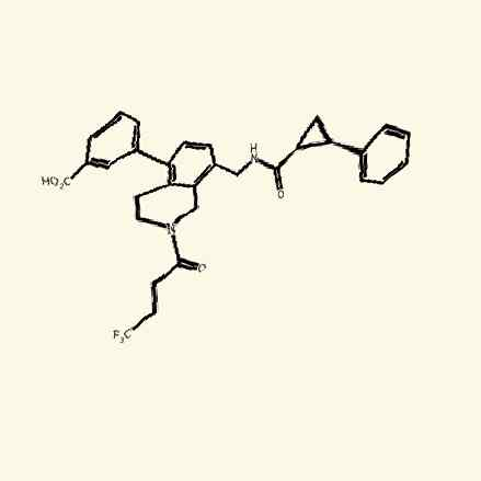 O=C(O)c1cccc(-c2ccc(CNC(=O)[C@H]3C[C@H]3c3ccccc3)c3c2CCN(C(=O)CCC(F)(F)F)C3)c1